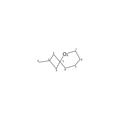 CC1CC2(CCCCO2)C1